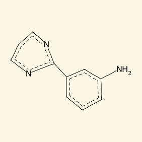 Nc1[c]ccc(-c2ncccn2)c1